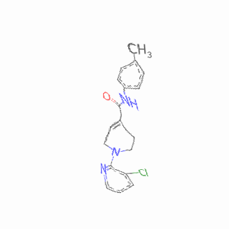 Cc1ccc(NC(=O)C2=CCN(c3ncccc3Cl)CC2)cc1